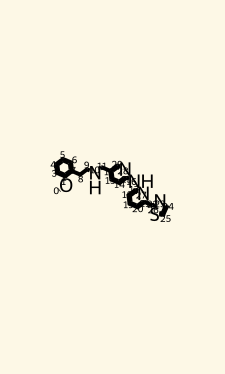 COc1ccccc1CCNCc1ccc(Nc2cccc(-c3nccs3)n2)nc1